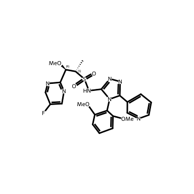 COc1cccc(OC)c1-n1c(NS(=O)(=O)[C@@H](C)[C@H](OC)c2ncc(F)cn2)nnc1-c1cccnc1